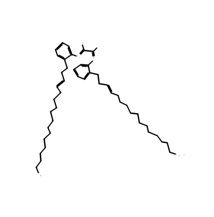 CCCCCCCCCCCCCCCCCCCCCCC=CCCc1ccccc1N=C(CCCC)C(CCCC)=Nc1ccccc1CCC=CCCCCCCCCCCCCCCCCCCCCCC.[Pd]